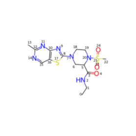 CCNC(=O)C1CN(c2nc3nc(C)ncc3s2)CCN1S(C)(=O)=O